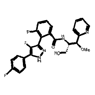 COC(c1ccccn1)[C@H](CO)NC(=O)c1cccc(F)c1-c1n[nH]c(-c2ccc(F)cc2)c1F